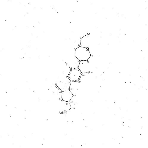 CC(=O)CN1CCN(c2c(F)cc(N3C[C@H](CNC(C)=O)OC3=O)cc2F)CCO1